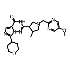 COc1cnc(CN2CC(C)C(c3nn4c(C5CCOCC5)ncc4c(=O)[nH]3)C2)nc1